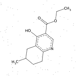 CCOC(=O)c1cnc2c(c1O)CC(C)CC2